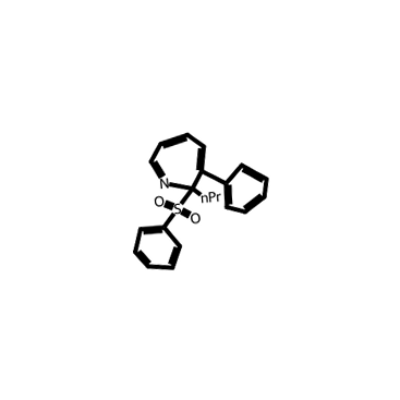 CCCC1(S(=O)(=O)c2ccccc2)N=CC=CC=C1c1ccccc1